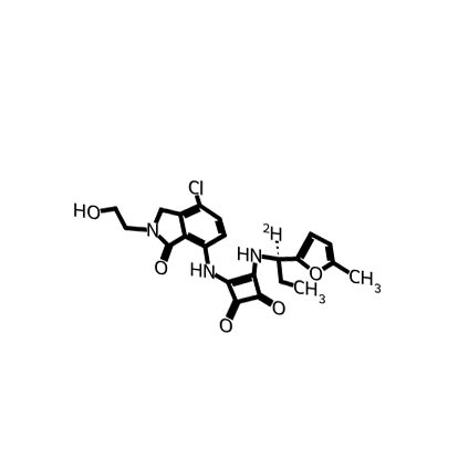 [2H][C@](CC)(Nc1c(Nc2ccc(Cl)c3c2C(=O)N(CCO)C3)c(=O)c1=O)c1ccc(C)o1